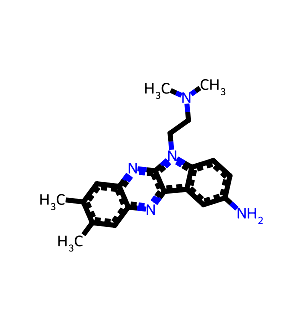 Cc1cc2nc3c4cc(N)ccc4n(CCN(C)C)c3nc2cc1C